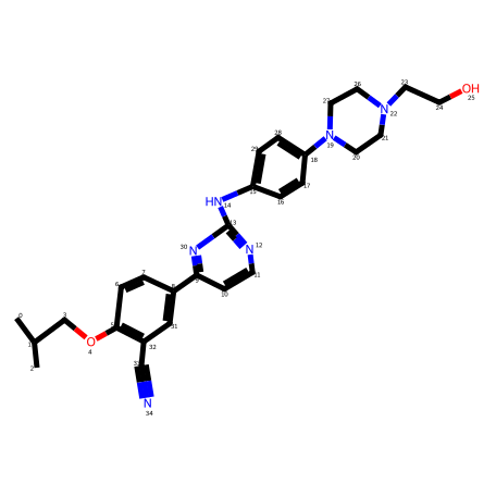 CC(C)COc1ccc(-c2ccnc(Nc3ccc(N4CCN(CCO)CC4)cc3)n2)cc1C#N